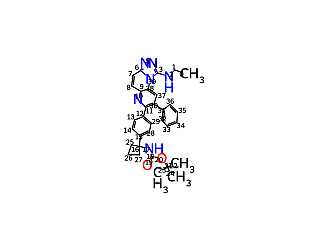 CCNc1nnc2ccc3nc(-c4ccc(C5(NC(=O)OC(C)(C)C)CCC5)cc4)c(-c4ccccc4)cc3n12